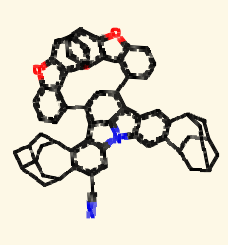 N#Cc1cc2c(c3c1C1CC4CC5CC3CC45C1)c1c(-c3cccc4oc5ccccc5c34)cc(-c3cccc4oc5ccccc5c34)c3c4cc5c(cc4n2c31)C1CC2CC(CC5C2)C1